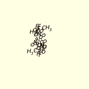 Cc1ccc(N(c2cc3c(c4ccccc24)-c2c(cc(N(c4ccc(C)cc4C)c4cccc5c4oc4c(C(F)(F)F)cccc45)c4ccccc24)C32c3ccccc3-n3c4ccccc4c4cccc2c43)c2cccc3c2oc2c(C(F)(F)F)cccc23)c(C)c1